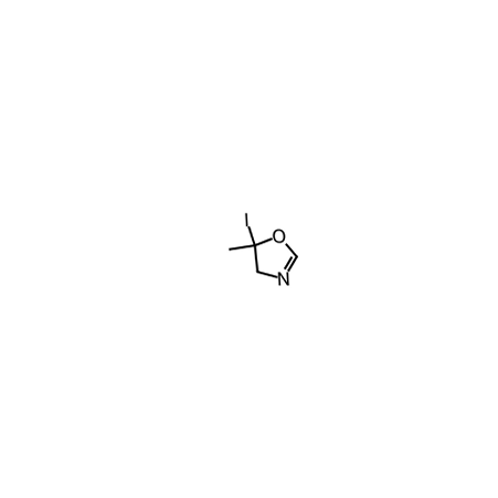 CC1(I)CN=CO1